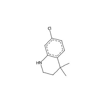 CC1(C)CCNc2cc(Cl)ccc21